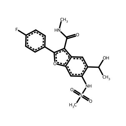 CNC(=O)c1c(-c2ccc(F)cc2)oc2cc(NS(C)(=O)=O)c(C(C)O)cc12